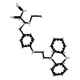 CCO[C@@H](Cc1ccc(OCCN2c3ccccc3Oc3ccccc32)cc1)C(=O)N=O